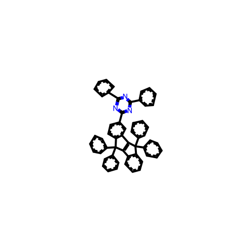 c1ccc(-c2nc(-c3ccccc3)nc(-c3ccc4c(c3)C3=C(c5ccccc5C3(c3ccccc3)c3ccccc3)C4(c3ccccc3)c3ccccc3)n2)cc1